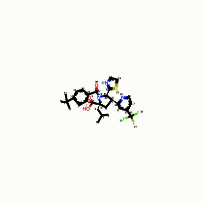 CC(C)C[C@@]1(C(=O)O)C[C@H](c2cc(C(F)(F)F)ccn2)[C@H](c2nccs2)N1C(=O)c1ccc(C(C)(C)C)cc1